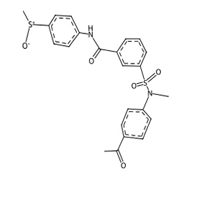 CC(=O)c1ccc(N(C)S(=O)(=O)c2cccc(C(=O)Nc3ccc([S+](C)[O-])cc3)c2)cc1